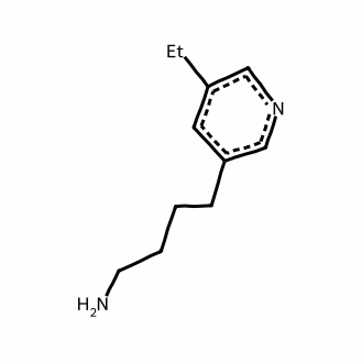 CCc1cncc(CCCCN)c1